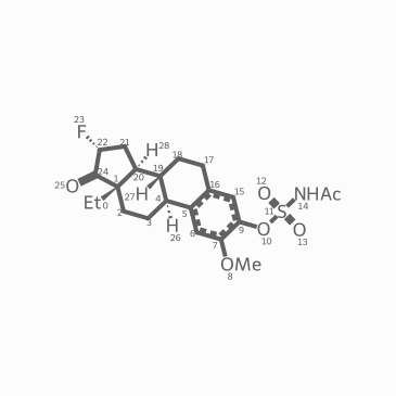 CC[C@]12CC[C@@H]3c4cc(OC)c(OS(=O)(=O)NC(C)=O)cc4CC[C@H]3[C@@H]1C[C@@H](F)C2=O